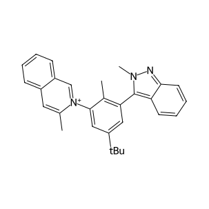 Cc1c(-c2c3ccccc3nn2C)cc(C(C)(C)C)cc1-[n+]1cc2ccccc2cc1C